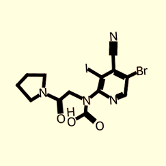 N#Cc1c(Br)cnc(N(CC(=O)N2CCCC2)C(=O)O)c1I